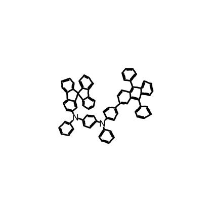 c1ccc(-c2c3ccccc3c(-c3ccccc3)c3cc(-c4ccc(N(c5ccccc5)c5ccc(N(c6ccccc6)c6ccc7c(c6)C6(c8ccccc8-c8ccccc86)c6ccccc6-7)cc5)cc4)ccc23)cc1